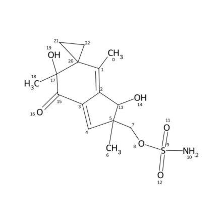 CC1=C2C(=CC(C)(COS(N)(=O)=O)C2O)C(=O)C(C)(O)C12CC2